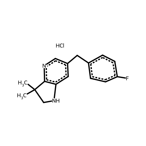 CC1(C)CNc2cc(Cc3ccc(F)cc3)cnc21.Cl